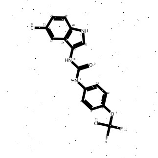 O=C(Nc1ccc(OC(F)(F)Cl)cc1)Nc1c[nH]c2ccc(Cl)cc12